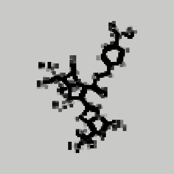 Cc1nc(S(C)(=O)=O)c2sc(C3=C(C(=O)OCc4ccc([N+](=O)[O-])cc4)N4C(=O)[C@H]([C@@H](C)O)[C@H]4[C@H]3C)cn12